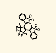 CC1=C(C2=C(C3=C(C)S(=O)(=O)c4ccccc43)C(F)(F)C(F)(F)C2(F)F)c2ccccc2S1(=O)=O